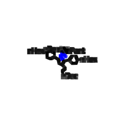 CCCCCCCCCCC=CC1=C(c2ccc(CCCCCC)cc2)[N+](=[N-])C(c2ccc(CCCCCC)cc2)=C1.CCCC[CH2][Ni][CH2]CCCC